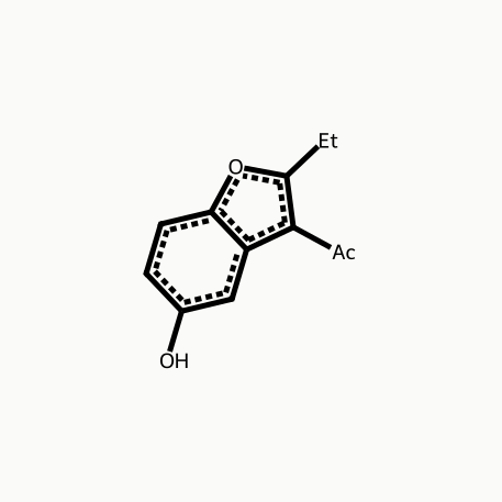 CCc1oc2ccc(O)cc2c1C(C)=O